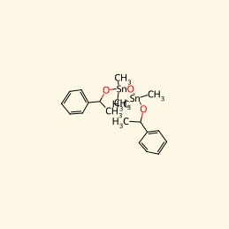 CC([O][Sn]([CH3])([CH3])[O][Sn]([CH3])([CH3])[O]C(C)c1ccccc1)c1ccccc1